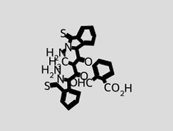 CC(C(=O)C1c2ccccc2C(=S)N1N)C(=O)C1c2ccccc2C(=S)N1N.O=Cc1ccccc1C(=O)O